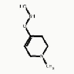 CN1CC=C(OBO)CC1